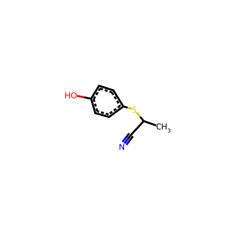 CC(C#N)Sc1ccc(O)cc1